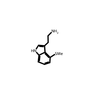 CSc1cccc2[nH]cc(CCN)c12